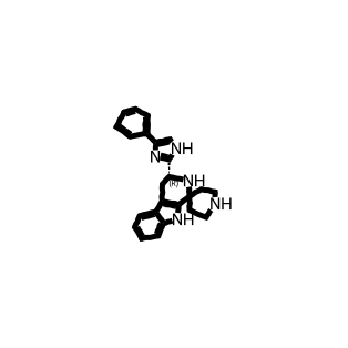 c1ccc(-c2c[nH]c([C@H]3Cc4c([nH]c5ccccc45)C4(CCNCC4)N3)n2)cc1